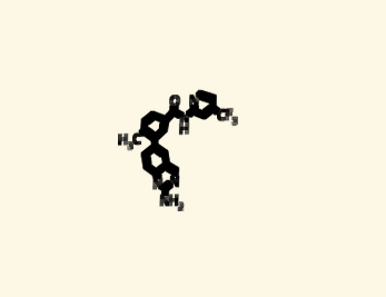 Cc1ccc(C(=O)Nc2cc(C(F)(F)F)ccn2)cc1-c1ccc2nc(N)ncc2c1